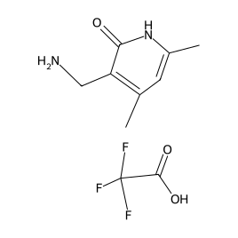 Cc1cc(C)c(CN)c(=O)[nH]1.O=C(O)C(F)(F)F